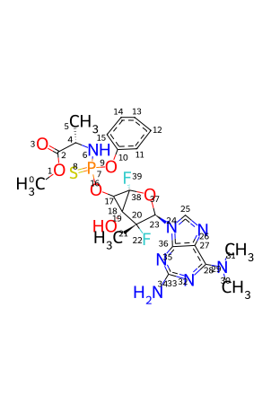 COC(=O)[C@H](C)NP(=S)(Oc1ccccc1)OC1[C@]2(O)[C@@](C)(F)[C@H](n3cnc4c(N(C)C)nc(N)nc43)O[C@]12F